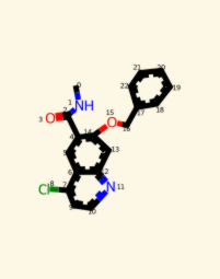 CNC(=O)c1cc2c(Cl)ccnc2cc1OCc1ccccc1